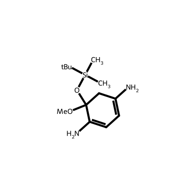 COC1(O[Si](C)(C)C(C)(C)C)CC(N)=CC=C1N